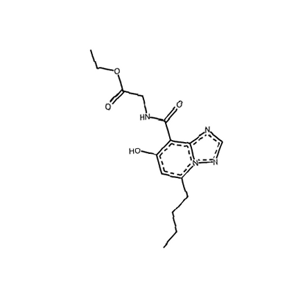 CCCCc1cc(O)c(C(=O)NCC(=O)OCC)c2ncnn12